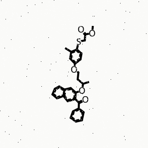 COC(=O)CSc1ccc(OCCC(C)Oc2cc3ccccc3cc2C(=O)c2ccccc2)cc1C